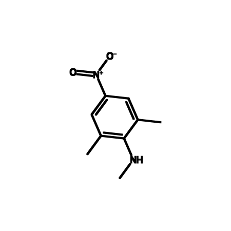 CNc1c(C)cc([N+](=O)[O-])cc1C